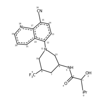 CC(C)C(O)C(=O)NC1CC(C(F)(F)F)CN(c2ccc(C#N)c3ncccc23)C1